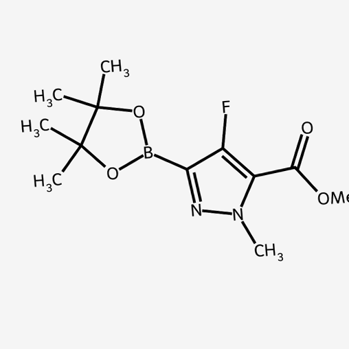 COC(=O)c1c(F)c(B2OC(C)(C)C(C)(C)O2)nn1C